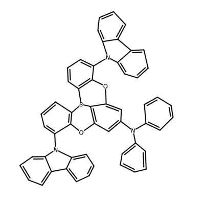 c1ccc(N(c2ccccc2)c2cc3c4c(c2)Oc2c(cccc2-n2c5ccccc5c5ccccc52)B4c2cccc(-n4c5ccccc5c5ccccc54)c2O3)cc1